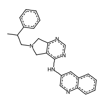 CC(CN1Cc2ncnc(Nc3cnc4ccccc4c3)c2C1)c1ccccc1